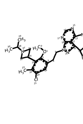 COc1c(CCn2nc(C(F)F)c3c(N)ncnc32)cc(Cl)c(C)c1C1CN(C(C)C)C1